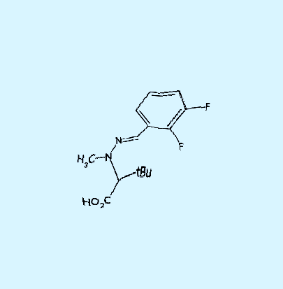 CN(N=Cc1cccc(F)c1F)C(C(=O)O)C(C)(C)C